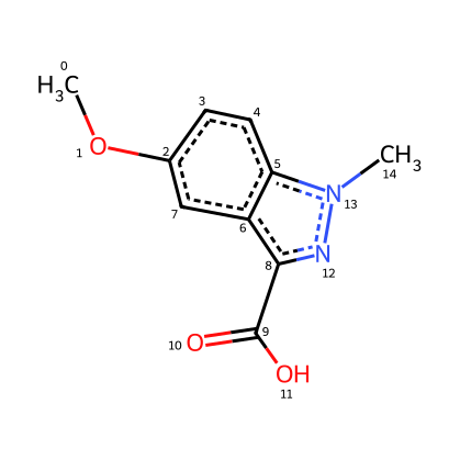 COc1ccc2c(c1)c(C(=O)O)nn2C